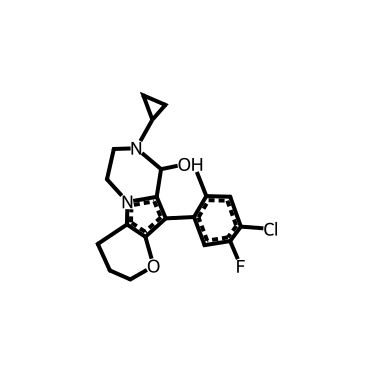 Cc1cc(Cl)c(F)cc1-c1c2c(n3c1C(O)N(C1CC1)CC3)CCCO2